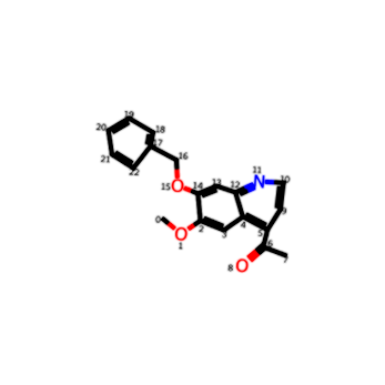 COc1cc2c(C(C)=O)ccnc2cc1OCc1ccccc1